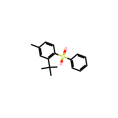 Cc1ccc(S(=O)(=O)c2ccccc2)c(C(C)(C)C)c1